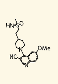 COc1ccc2ncc(C#N)c(N3CCC(CCS(C)(=N)=O)CC3)c2c1